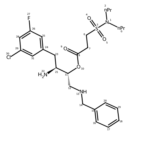 CCCN(CCC)S(=O)(=O)CCC(=O)O[C@H](CNCc1ccccc1)[C@@H](N)Cc1cc(F)cc(Cl)c1